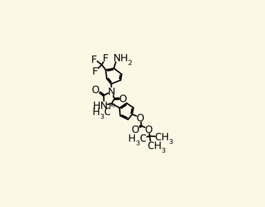 CC(C)(C)OC(=O)Oc1ccc([C@@]2(C)NC(=O)N(c3ccc(N)c(C(F)(F)F)c3)C2=O)cc1